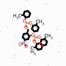 Cc1ccccc1OP(OCc1ccc([N+](=O)[O-])cc1OP(Oc1ccccc1C)Oc1ccccc1C)Oc1ccccc1C